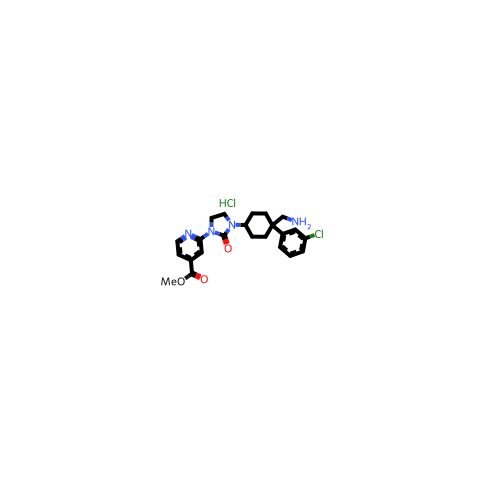 COC(=O)c1ccnc(N2CCN(C3CCC(CN)(c4cccc(Cl)c4)CC3)C2=O)c1.Cl